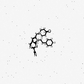 N#Cc1ncc2cc(CN3CCC(=O)CC3)n(CCC3CCCCC3)c2n1